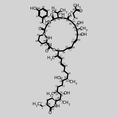 CC[C@@H]1CC[C@@H]([C@@H](C)[C@@H](O)[C@@H](C)CC[C@H](O)[C@@H](C)CC/C=C/C=C(\C)C2C/C=C/C=C/[C@@H](O)[C@H](C)[C@@H](O)[C@@H](CCC(C)=O)C(=O)NC(C(C)C)C(=O)N[C@@H](Cc3cccc(O)c3)C(=O)N3CCC[C@H](N3)C(=O)O2)NC1=O